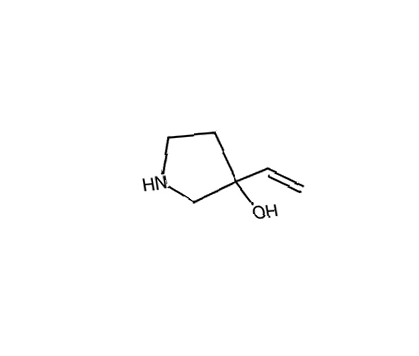 C=CC1(O)CCNC1